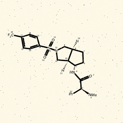 CN[C@H](C(=O)N[C@H]1CC[C@@H]2CN(S(=O)(=O)c3ccc(C(F)(F)F)cc3)C[C@@H]21)C(C)C